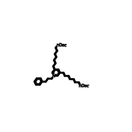 CCCCCCCCCCCCCCCCCc1cc(CCCCCCCCCCCCCCCCC)c[n+](CCCc2ccccc2)c1